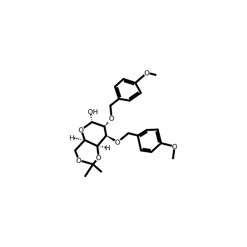 COc1ccc(CO[C@@H]2[C@@H](OCc3ccc(OC)cc3)[C@@H](O)O[C@@H]3COC(C)(C)O[C@H]23)cc1